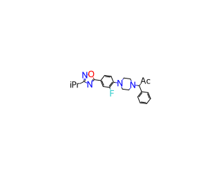 CC(=O)C(c1ccccc1)N1CCN(c2ccc(-c3nc(C(C)C)no3)cc2F)CC1